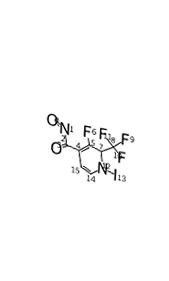 O=NC(=O)C1=C(F)C(C(F)(F)F)N(I)C=C1